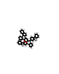 c1ccc(-c2cccc3ccccc23)c(-c2ccc(N(c3ccc4c(c3)oc3ccccc34)c3ccccc3-c3ccc4c(c3)sc3ccccc34)cc2)c1